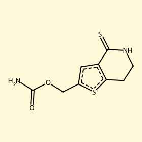 NC(=O)OCc1cc2c(s1)CCNC2=S